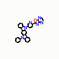 c1ccc(-n2c3ccccc3c3cc4c(cc32)c2ccccc2n4-c2ccc(-c3nc4nccnc4o3)nc2)cc1